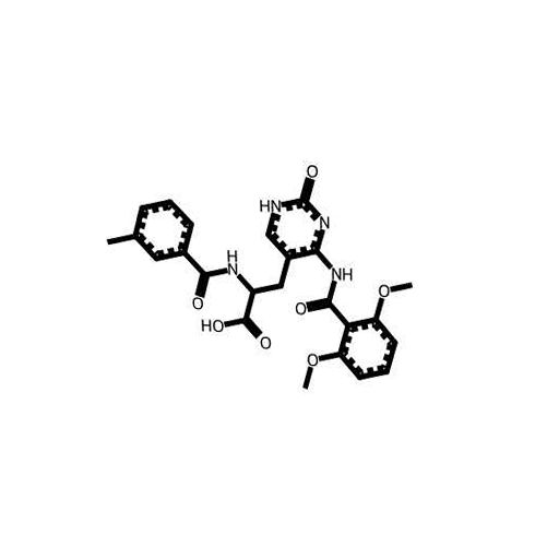 COc1cccc(OC)c1C(=O)Nc1nc(=O)[nH]cc1CC(NC(=O)c1cccc(C)c1)C(=O)O